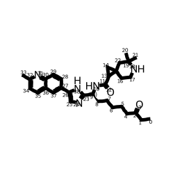 CCC(=O)CCCCC[C@H](NC(=O)C1CC12CCNC(C)(C)C2)c1ncc(-c2ccc3nc(C)ccc3c2)[nH]1